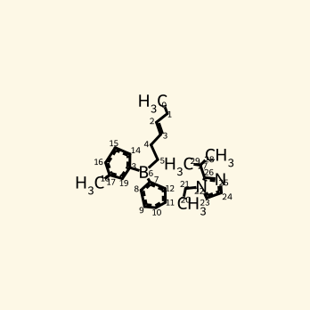 CCC=CCCB(c1ccccc1)c1cccc(C)c1.CCn1ccnc1C(C)C